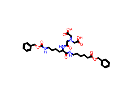 O=C(O)CN(CC(=O)O)CC(=O)NC(CCCCNC(=O)OCc1ccccc1)C(=O)NCCCCCC(=O)OCc1ccccc1